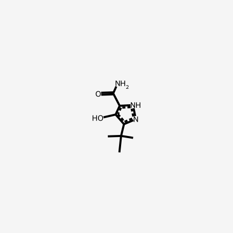 CC(C)(C)c1n[nH]c(C(N)=O)c1O